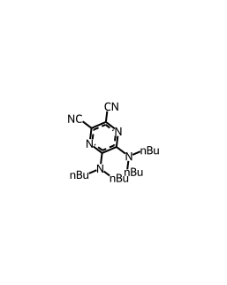 CCCCN(CCCC)c1nc(C#N)c(C#N)nc1N(CCCC)CCCC